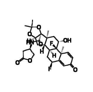 CC1(C)O[C@@H]2C[C@H]3[C@@H]4C[C@H](F)C5=CC(=O)C=C[C@]5(C)[C@@]4(F)[C@@H](O)C[C@]3(C)[C@]2(C(=O)N[C@H]2COC(=O)C2)O1